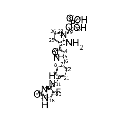 NC1C(c2cc(Cc3ccc(CNc4nc(=O)[nH]cc4F)cc3)no2)=CC=CN1COP(=O)(O)O